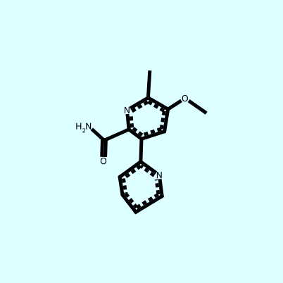 COc1cc(-c2ccccn2)c(C(N)=O)nc1C